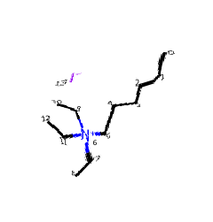 CCCCCC[N+](CC)(CC)CC.[I-]